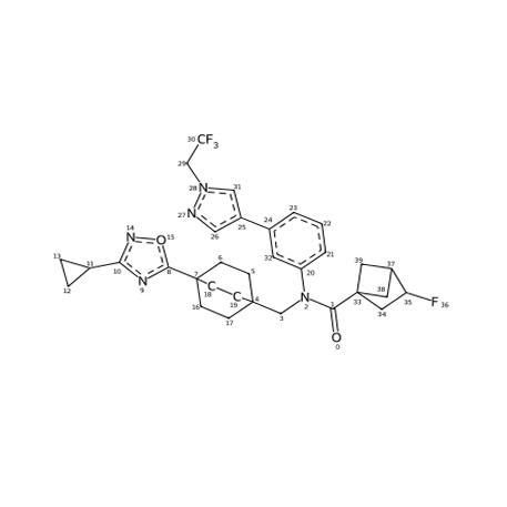 O=C(N(CC12CCC(c3nc(C4CC4)no3)(CC1)CC2)c1cccc(-c2cnn(CC(F)(F)F)c2)c1)C12CC(F)C(C1)C2